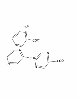 O=C([O-])c1cnccn1.O=C([O-])c1cnccn1.O=C([O-])c1cnccn1.[Tb+3]